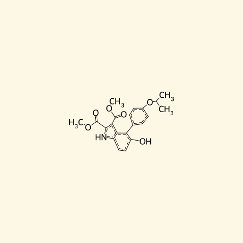 COC(=O)c1[nH]c2ccc(O)c(-c3ccc(OC(C)C)cc3)c2c1C(=O)OC